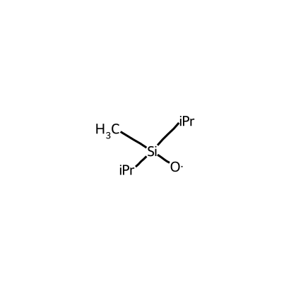 CC(C)[Si](C)([O])C(C)C